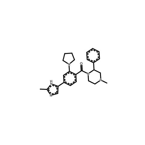 Cc1ncc(-c2ccc(C(=O)N3CCN(C)CC3c3ccccc3)c(N3CCCC3)c2)[nH]1